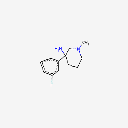 CN1CCCC(N)(c2cccc(F)c2)C1